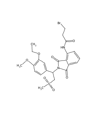 CCOc1cc(C(CS(C)(=O)=O)N2C(=O)c3cccc(NC(=O)CCBr)c3C2=O)ccc1OC